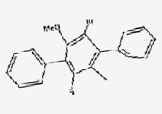 COc1c(Br)c(-c2ccccc2)c(C)c(Br)c1-c1ccccc1